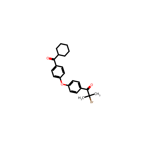 CC(C)(Br)C(=O)c1ccc(Oc2ccc(C(=O)C3CCCCC3)cc2)cc1